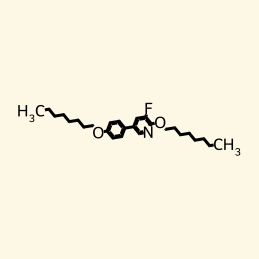 CCCCCCCCOc1ccc(-c2cnc(OCCCCCCCC)c(F)c2)cc1